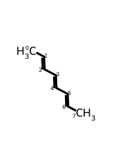 CC=C/C=C/C=CC